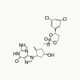 C=C1C(n2cnc3c(=O)[nH]c(N)nc32)C[C@H](O)[C@H]1CO[P@]1(=O)OCC[C@H](c2cc(Cl)cc(Cl)c2)O1